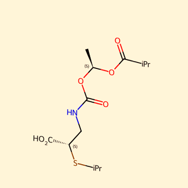 CC(C)S[C@@H](CNC(=O)O[C@@H](C)OC(=O)C(C)C)C(=O)O